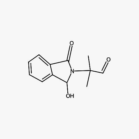 CC(C)(C=O)N1C(=O)c2ccccc2C1O